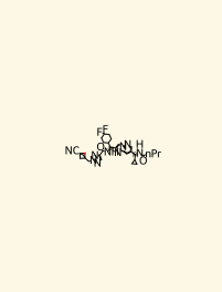 CCCC(=O)N[C@@H](c1cnn2cc([C@@H](NC(=O)c3cnn(CC45CC(C#N)(C4)C5)n3)C3CCC(F)(F)CC3)nc2c1)C1CC1